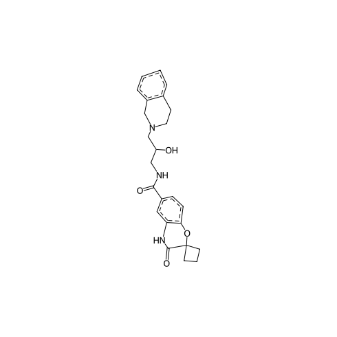 O=C(NCC(O)CN1CCc2ccccc2C1)c1ccc2c(c1)NC(=O)C1(CCC1)O2